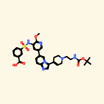 COc1ncc(-c2ccc3ncc(C4=CCN(CCNC(=O)OC(C)(C)C)CC4)n3c2)cc1NS(=O)(=O)c1cccc(C(=O)O)c1